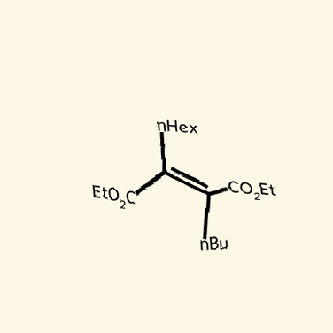 CCCCCCC(C(=O)OCC)=C(CCCC)C(=O)OCC